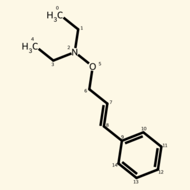 CCN(CC)OCC=Cc1ccccc1